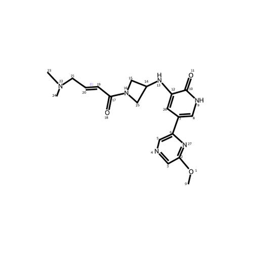 COc1cncc(-c2c[nH]c(=O)c(NC3CN(C(=O)/C=C/CN(C)C)C3)c2)n1